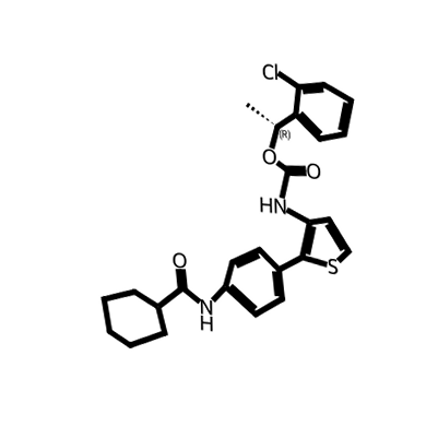 C[C@@H](OC(=O)Nc1ccsc1-c1ccc(NC(=O)C2CCCCC2)cc1)c1ccccc1Cl